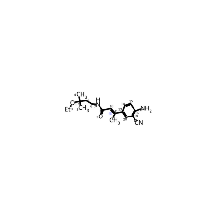 CCOC(C)(C)CCNC(=O)/C=C(\C)c1ccc(N)c(C#N)c1